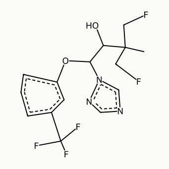 CC(CF)(CF)C(O)C(Oc1cccc(C(F)(F)F)c1)n1cncn1